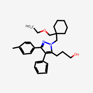 Cc1ccc(-c2nn(CC3(COCC(=O)O)CCCCC3)c(CCCO)c2-c2ccccc2)cc1